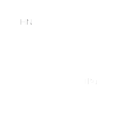 CC(C)(C)c1cccc2c1C=CNC2